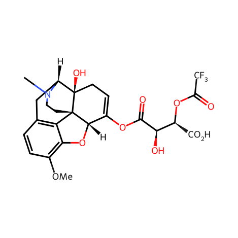 COc1ccc2c3c1O[C@H]1C(OC(=O)[C@H](O)[C@@H](OC(=O)C(F)(F)F)C(=O)O)=CC[C@@]4(O)[C@@H](C2)N(C)CC[C@]314